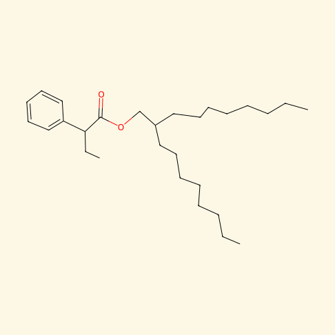 CCCCCCCCC(CCCCCCCC)COC(=O)C(CC)c1ccccc1